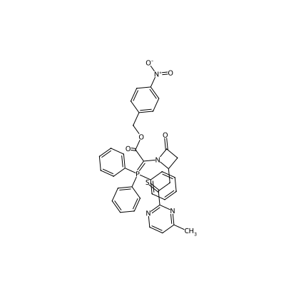 Cc1ccnc(C(=S)CC2CC(=O)N2C(C(=O)OCc2ccc([N+](=O)[O-])cc2)=P(c2ccccc2)(c2ccccc2)c2ccccc2)n1